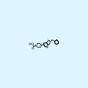 C[C@H]1c2cc(N3CCN(C(=O)O)CC3)cnc2CN1Cc1ccccc1